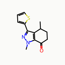 CC1CCC(=O)c2c1c(-c1cccs1)nn2C